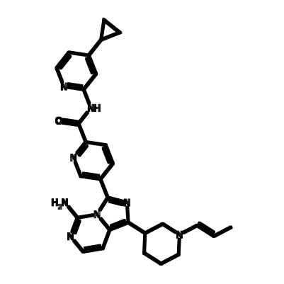 CC=CN1CCCC(c2nc(-c3ccc(C(=O)Nc4cc(C5CC5)ccn4)nc3)n3c(N)nccc23)C1